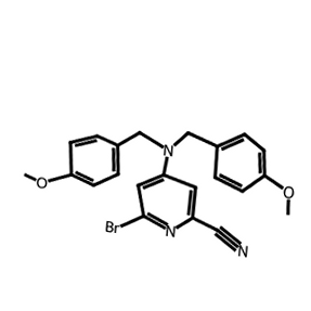 COc1ccc(CN(Cc2ccc(OC)cc2)c2cc(Br)nc(C#N)c2)cc1